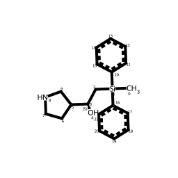 C[Si](C[C@@H](O)C1CCNC1)(c1ccccc1)c1ccccc1